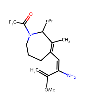 C=C(OC)/C(N)=C\C1=C(C)C(CCC)N(C(=O)C(F)(F)F)CCC1